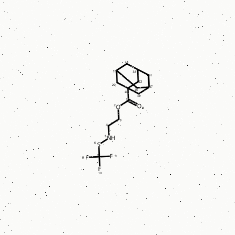 O=C(OCCNSC(F)(F)F)C12CC3CC(CC(C3)C1)C2